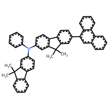 CC1(C)c2ccccc2-c2ccc(N(c3ccccc3)c3ccc4c(c3)C(C)(C)c3cc(-c5cc6ccccc6c6ccccc56)ccc3-4)cc21